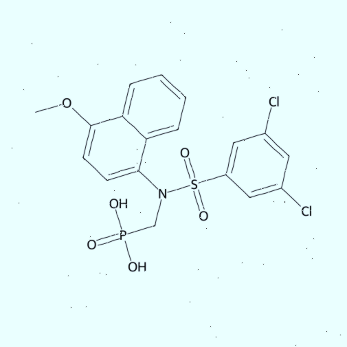 COc1ccc(N(CP(=O)(O)O)S(=O)(=O)c2cc(Cl)cc(Cl)c2)c2ccccc12